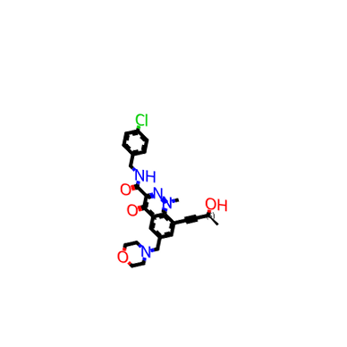 C[C@H](O)C#Cc1cc(CN2CCOCC2)cc2c(=O)c(C(=O)NCc3ccc(Cl)cc3)nn(C)c12